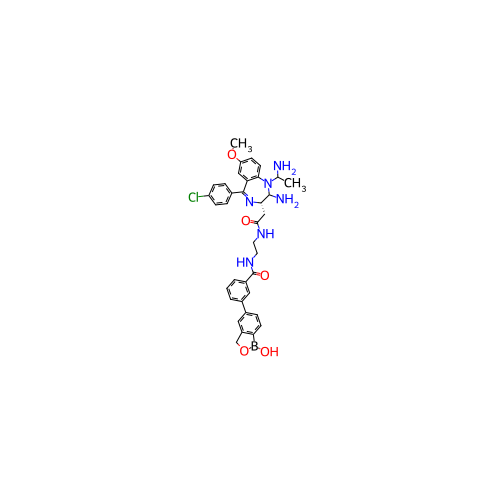 COc1ccc2c(c1)C(c1ccc(Cl)cc1)=N[C@@H](CC(=O)NCCNC(=O)c1cccc(-c3ccc4c(c3)COB4O)c1)C(N)N2C(C)N